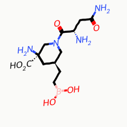 NC(=O)C[C@H](N)C(=O)N1C[C@@H](CCB(O)O)C[C@](N)(C(=O)O)C1